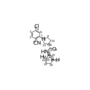 N#Cc1ccc(Cl)cc1N1CC[C@H](C(=O)N[C@@H]2C[C@@H]3CC[C@H]2C3)C1